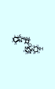 c1ccc2sc(N[C@H]3C[C@@H](Oc4nccnc4N4CCNCC4)C3)nc2c1